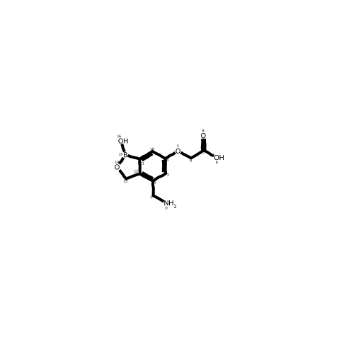 NCc1cc(OCC(=O)O)cc2c1COB2O